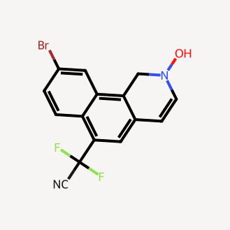 N#CC(F)(F)c1cc2c(c3cc(Br)ccc13)CN(O)C=C2